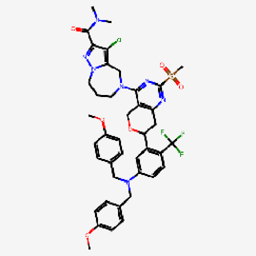 COc1ccc(CN(Cc2ccc(OC)cc2)c2ccc(C(F)(F)F)c(C3Cc4nc(S(C)(=O)=O)nc(N5CCCn6nc(C(=O)N(C)C)c(Cl)c6C5)c4CO3)c2)cc1